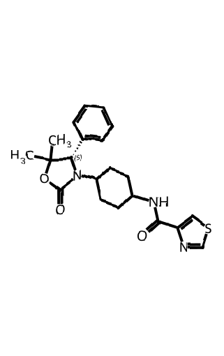 CC1(C)OC(=O)N(C2CCC(NC(=O)c3cscn3)CC2)[C@H]1c1ccccc1